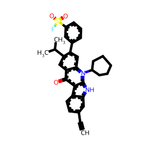 C#Cc1ccc2c(c1)[nH]c1c2c(=O)c2cc(C(C)C)c(-c3cccc(S(=O)(=O)F)c3)cc2n1C1CCCCC1